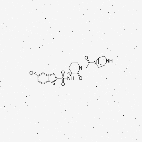 O=C1[C@@H](NS(=O)(=O)c2cc3cc(Cl)ccc3s2)CCCN1CC(=O)N1CC2CC1CN2